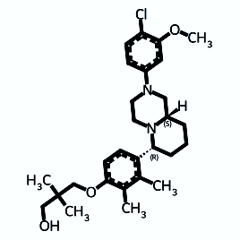 COc1cc(N2CCN3[C@@H](CCC[C@@H]3c3ccc(OCC(C)(C)CO)c(C)c3C)C2)ccc1Cl